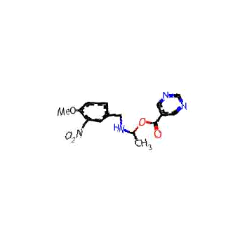 COc1ccc(CNC(C)OC(=O)c2cncnc2)cc1[N+](=O)[O-]